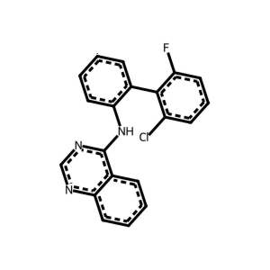 Fc1cccc(Cl)c1-c1c[c]ccc1Nc1ncnc2ccccc12